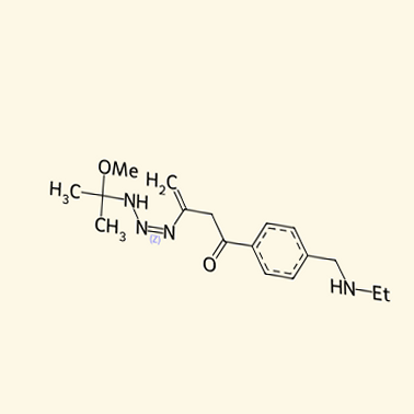 C=C(CC(=O)c1ccc(CNCC)cc1)/N=N\NC(C)(C)OC